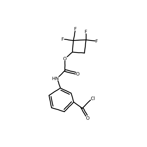 O=C(Nc1cccc(C(=O)Cl)c1)OC1CC(F)(F)C1(F)F